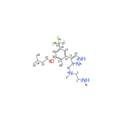 CNCCN(C)Cc1n[nH]cc1-c1cc(C(F)(F)F)cc(OCCC(C)C)c1C